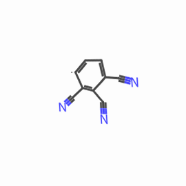 N#Cc1[c]ccc(C#N)c1C#N